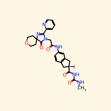 CNC(=O)NC(=O)[C@]1(I)Cc2ccc(NC(=O)CN3C(=O)C4(CCOCC4)N=C3c3ccccn3)cc2C1